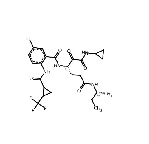 CC[C@@H](C)NC(=O)CC[C@H](NC(=O)c1cc(Cl)ccc1NC(=O)C1CC1C(F)(F)F)C(=O)C(=O)NC1CC1